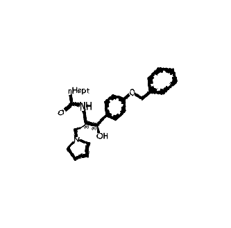 CCCCCCCC(=O)N[C@H](CN1CCCC1)[C@H](O)c1ccc(OCc2ccccc2)cc1